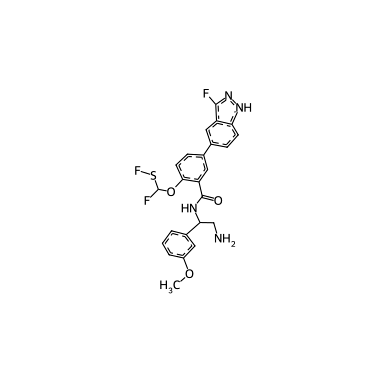 COc1cccc(C(CN)NC(=O)c2cc(-c3ccc4[nH]nc(F)c4c3)ccc2OC(F)SF)c1